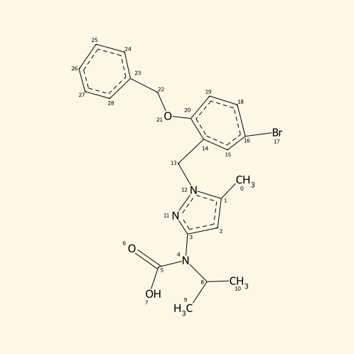 Cc1cc(N(C(=O)O)C(C)C)nn1Cc1cc(Br)ccc1OCc1ccccc1